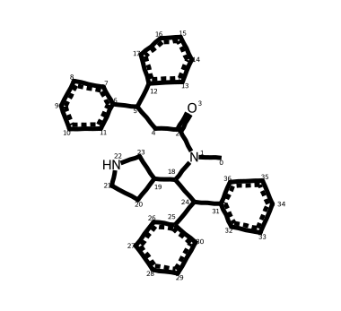 CN(C(=O)CC(c1ccccc1)c1ccccc1)C(C1CCNC1)C(c1ccccc1)c1ccccc1